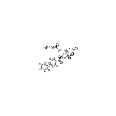 CCCCCC(=O)/C=C/[C@@H]1[C@H]2CC(=O)O[C@H]2C[C@H]1OC(=O)c1ccc(-c2ccccc2)cc1